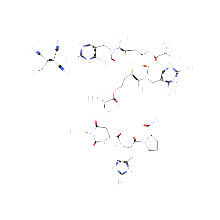 C/C(=C(\CCOC(=O)C(C)C)SS/C(CCOC(=O)C(C)C)=C(/C)N(C=O)Cc1cnc(C)nc1N)N(C=O)Cc1cnc(C)nc1N.CN1C(=O)C[C@@H](C(=O)N[C@@H](Cc2cnc[nH]2)C(=O)N2CCC[C@H]2C(N)=O)NC1=O.N#CC(C#N)=C(C#N)CN.[Rb+]